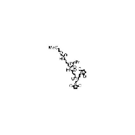 CCCNC(=O)[C@H](CCCCNC(=O)COCCOC)NC(=O)CCC(=O)N(CCN1C(=O)C=CC1=O)CCN1C(=O)C=CC1=O